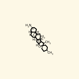 C[C@H]1C2[C@H](C[C@H]3[C@@H]4CC[C@@H]5C[C@H](N)CC[C@]5(C)[C@H]4CC[C@]23C)O[C@]12CC[C@H](C)CC2